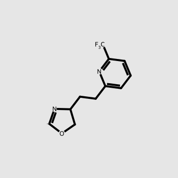 FC(F)(F)c1cccc(CCC2CO[C]=N2)n1